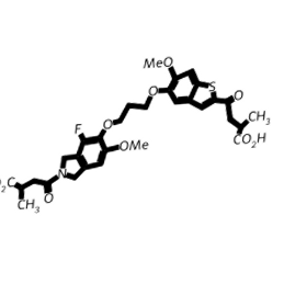 COc1cc2sc(C(=O)CC(C)C(=O)O)cc2cc1OCCCOc1c(OC)cc2c(c1F)CN(C(=O)CC(C)C(=O)O)C2